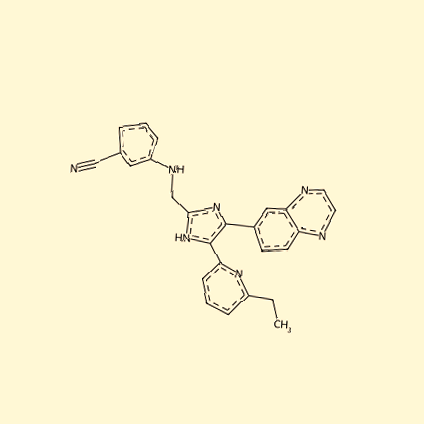 CCc1cccc(-c2[nH]c(CNc3cccc(C#N)c3)nc2-c2ccc3nccnc3c2)n1